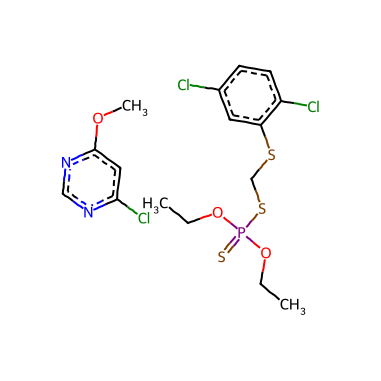 CCOP(=S)(OCC)SCSc1cc(Cl)ccc1Cl.COc1cc(Cl)ncn1